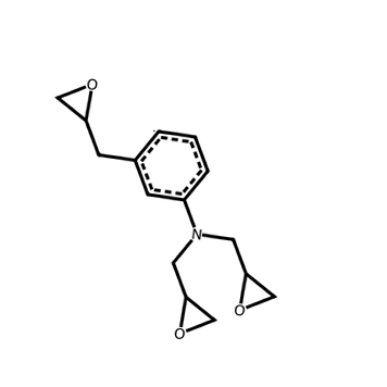 [c]1ccc(N(CC2CO2)CC2CO2)cc1CC1CO1